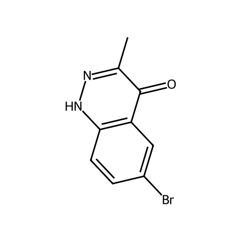 Cc1n[nH]c2ccc(Br)cc2c1=O